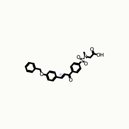 CN(CC(=O)O)S(=O)(=O)c1ccc(C(=O)/C=C/c2ccc(OCc3ccccc3)cc2)cc1